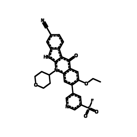 CCOc1cc2c(=O)c3c4ccc(C#N)cc4[nH]c3n(C3CCOCC3)c2cc1-c1cncc(S(=O)(=O)F)c1